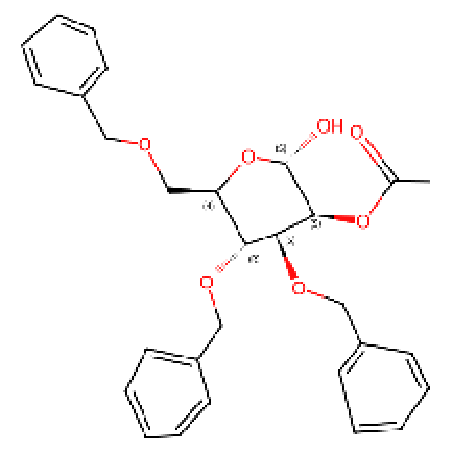 CC(=O)O[C@H]1[C@@H](OCc2ccccc2)[C@H](OCc2ccccc2)[C@@H](COCc2ccccc2)O[C@@H]1O